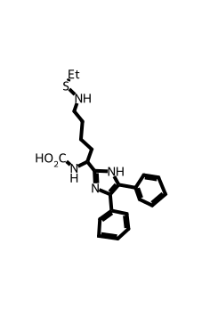 CCSNCCCCC(NC(=O)O)c1nc(-c2ccccc2)c(-c2ccccc2)[nH]1